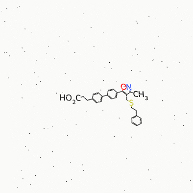 Cc1noc(-c2ccc(-c3ccc(CCC(=O)O)cc3)cc2)c1CSCCc1ccccc1